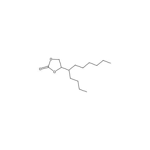 CCCCCCC(CCCC)C1COC(=O)O1